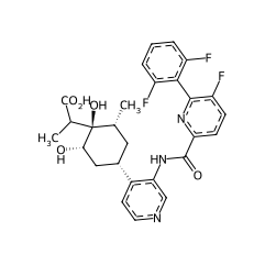 CC(C(=O)O)[C@]1(O)[C@H](C)C[C@H](c2ccncc2NC(=O)c2ccc(F)c(-c3c(F)cccc3F)n2)C[C@@H]1O